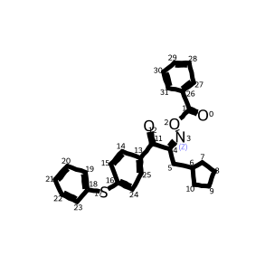 O=C(O/N=C(/CC1CCCC1)C(=O)c1ccc(Sc2ccccc2)cc1)c1ccccc1